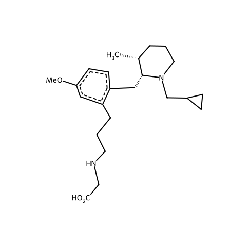 COc1ccc(C[C@@H]2[C@H](C)CCCN2CC2CC2)c(CCCNCC(=O)O)c1